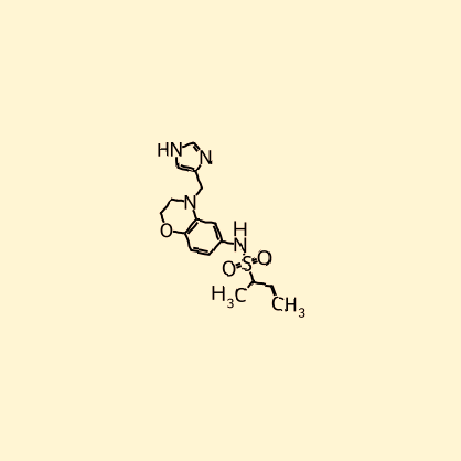 CCC(C)S(=O)(=O)Nc1ccc2c(c1)N(Cc1c[nH]cn1)CCO2